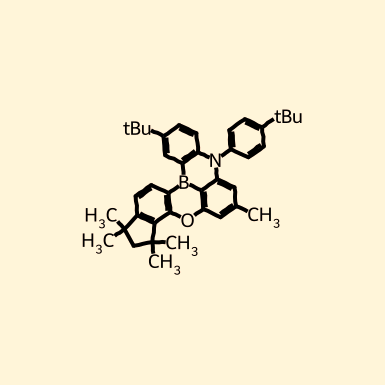 Cc1cc2c3c(c1)N(c1ccc(C(C)(C)C)cc1)c1ccc(C(C)(C)C)cc1B3c1ccc3c(c1O2)C(C)(C)CC3(C)C